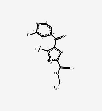 CCOC(=O)c1cc(C(=O)c2cccc(Br)c2)c(C)[nH]1